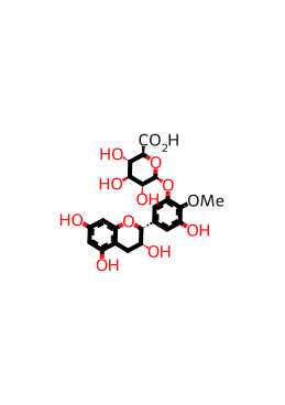 COc1c(O)cc([C@H]2Oc3cc(O)cc(O)c3C[C@H]2O)cc1O[C@@H]1O[C@H](C(=O)O)[C@@H](O)[C@H](O)[C@H]1O